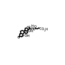 C[C@@H]1CC2C3CCC4=CC(=O)C=C[C@]4(C)[C@@]3(F)[C@@H](O)C[C@]2(C)[C@@]1(O)C(=O)CNOC(=O)CCC(=O)O